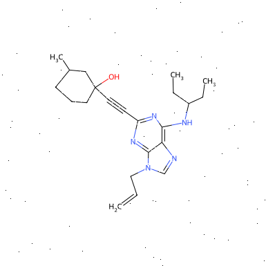 C=CCn1cnc2c(NC(CC)CC)nc(C#CC3(O)CCCC(C)C3)nc21